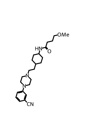 COCCCC(=O)NC1CCC(CCN2CCN(c3cccc(C#N)c3)CC2)CC1